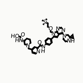 C[Si](C)(C)CCOCn1c(-c2ccc(NC(=O)c3cc(CN4CCC[C@@H](NC(=O)O)C4)ccn3)cc2)cc2c(N3CCNC4(CC4)C3)ncnc21